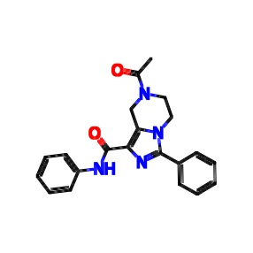 CC(=O)N1CCn2c(-c3ccccc3)nc(C(=O)Nc3ccccc3)c2C1